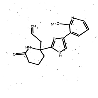 C=CCC1(c2nc(-c3cccnc3OC)c[nH]2)CCCC(=O)N1